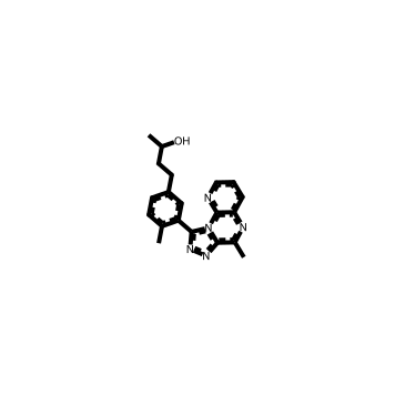 Cc1ccc(CCC(C)O)cc1-c1nnc2c(C)nc3cccnc3n12